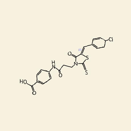 O=C(CCN1C(=O)/C(=C/C2=CCC(Cl)C=C2)SC1=S)Nc1ccc(C(=O)O)cc1